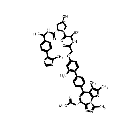 COC(=O)C[C@@H]1N=C(c2ccc(-c3ccc(OCC(=O)NC(C(=O)N4C[C@H](O)C[C@H]4C(=O)NC(C)c4ccc(-c5scnc5C)cc4)C(C)(C)C)cc3C)cc2)c2c(sc(C)c2C)-n2c(C)nnc21